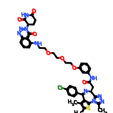 Cc1sc2c(c1C)C(c1ccc(Cl)cc1)=N[C@@H](CC(=O)Nc1cccc(OCCOCCOCCNc3cccc4nnn(C5CCC(=O)NC5=O)c(=O)c34)c1)c1nnc(C)n1-2